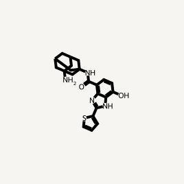 NC12CC3CC(C1)CC(NC(=O)c1ccc(O)c4[nH]c(-c5cccs5)nc14)(C3)C2